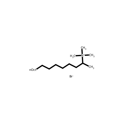 CCCCCCCCCCCCCCC(C)[N+](C)(C)C.[Br-]